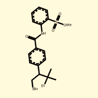 CCC(C)(C)C(CC(C)(C)C)c1ccc(C(=O)Nc2ccccc2S(=O)(=O)OC)cc1